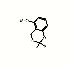 COc1cccc2c1COC(F)(F)O2